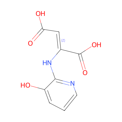 O=C(O)/C=C(\Nc1ncccc1O)C(=O)O